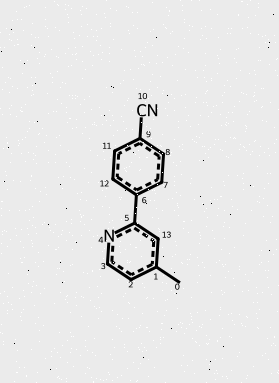 Cc1ccnc(-c2ccc(C#N)cc2)c1